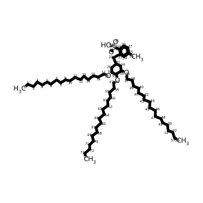 CCCCCCCCCCCCCCCCCCOC1CC(Cc2cc(C)ccc2S(=O)(=O)O)CC(OCCCCCCCCCCCCCCCCCC)C1OCCCCCCCCCCCCCCCCCC